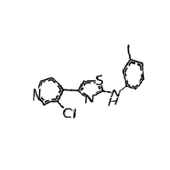 Cc1cccc(Nc2nc(-c3ccncc3Cl)cs2)c1